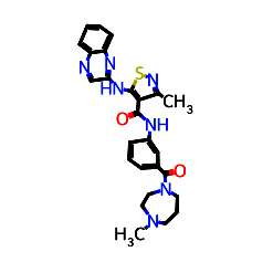 Cc1nsc(Nc2cnc3ccccc3n2)c1C(=O)Nc1cccc(C(=O)N2CCCN(C)CC2)c1